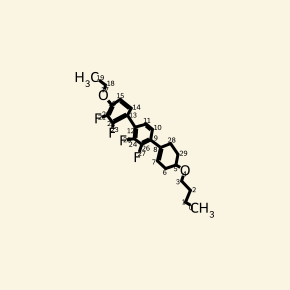 CCCCOC1CC=C(c2ccc(-c3ccc(OCC)c(F)c3F)c(F)c2F)CC1